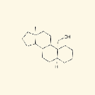 CC12CCCC1C1CC[C@@H]3CCCC[C@]3(CO)C1CC2